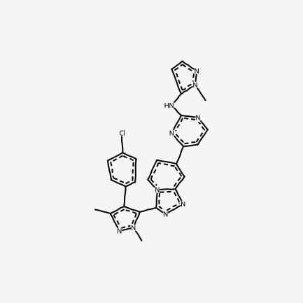 Cc1nn(C)c(-c2nnc3cc(-c4ccnc(Nc5ccnn5C)n4)ccn23)c1-c1ccc(Cl)cc1